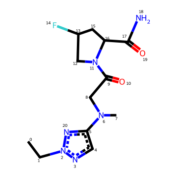 CCn1ncc(N(C)CC(=O)N2CC(F)CC2C(N)=O)n1